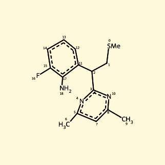 CSCC(c1nc(C)cc(C)n1)c1cccc(F)c1N